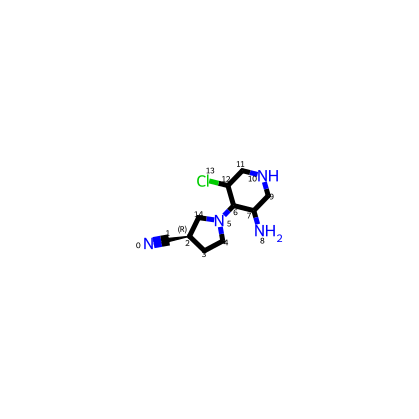 N#C[C@@H]1CCN(C2C(N)CNCC2Cl)C1